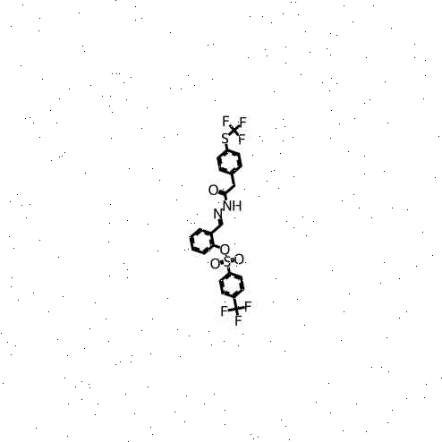 O=C(Cc1ccc(SC(F)(F)F)cc1)NN=Cc1ccccc1OS(=O)(=O)c1ccc(C(F)(F)F)cc1